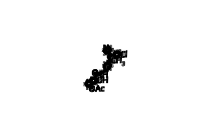 CC(=O)Oc1cccc2cc(C(=O)NCCN3CCN(C(C)SC(c4ccncc4)c4ccc(Cl)cc4)CC3)c(O)cc12